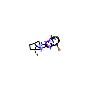 CC(C)(C)OC(=O)N1CC2CC[C@@H](C1)[C@@H]2Nc1nc2c(Br)cccn2n1